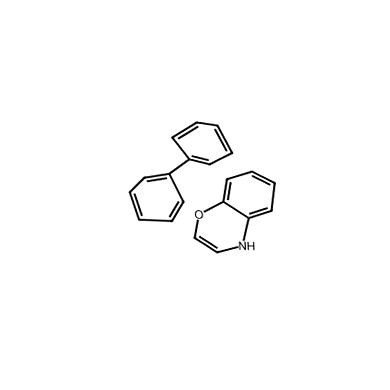 C1=COc2ccccc2N1.c1ccc(-c2ccccc2)cc1